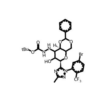 Cc1nc([C@@H]2OC3COC(c4ccccc4)O[C@@H]3C(NNC(=O)OC(C)(C)C)C2O)n(-c2cc(Br)ccc2C(F)(F)F)n1